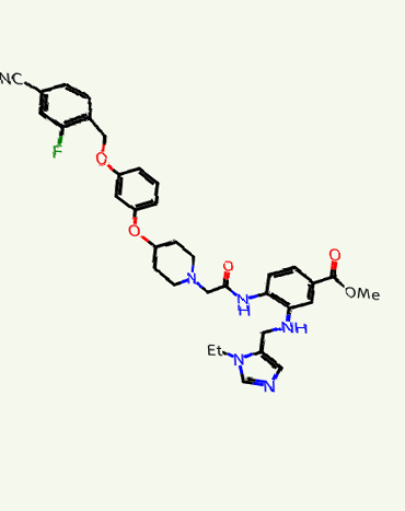 CCn1cncc1CNc1cc(C(=O)OC)ccc1NC(=O)CN1CCC(Oc2cccc(OCc3ccc(C#N)cc3F)c2)CC1